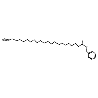 CCCCCCCCCCCCCCCCCCCCCCCCCCCCCCC(C)[CH]Cc1ccccc1